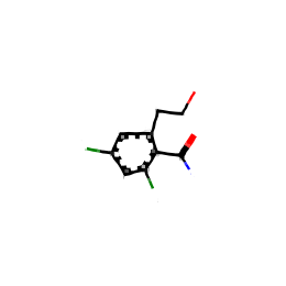 NC(=O)c1c(Cl)cc(Cl)cc1[CH]CO